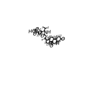 CC(C)C(NC(=O)C[C@@H](C)C1CCC2[C@@H]3C(=O)C[C@@H]4CC(=O)CC[C@]4(C)C3CC[C@@]21C)c1ccc(S(=O)(=O)O)s1